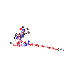 CC[C@H](C)[C@@H]([C@@H](CC(=O)N1CCC[C@H]1[C@H](OC)[C@@H](C)C(=O)N[C@H](C)[C@@H](O)c1ccccc1)OC)N(C)C(=O)[C@@H](NC(=O)[C@H](C(C)C)N(C)C(=O)OCc1ccc(O[C@@H]2O[C@H](C(=O)O)[C@@H](O)[C@H](O)[C@H]2O)c(NC(=O)CCNC(=O)[C@@H](N)CCCCNC(=O)CCOCCOCCOCCOCCOCCOCCOCCOCCOCCOCCOCCOC)c1)C(C)C